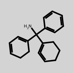 NC(C1=C=CCCC1)(C1=CC=CCC1)c1ccccc1